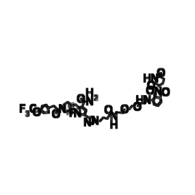 NC(=O)c1cc(-c2cn(CCCC(=O)NCCOCCOCCNc3cccc4c3C(=O)N(C3CCC(=O)NC3=O)C4=O)cn2)cnc1C[C@@H]1CCN(C(=O)Cc2ccc(OC(F)(F)F)cc2)C[C@H]1F